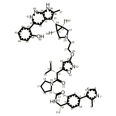 Cc1ncsc1-c1ccc([C@H](C)NC(=O)[C@@H]2CCCN2C(=O)[C@@H](c2cc(OCCN3C[C@@H]4[C@H](C3)[C@H]4c3c(C)[nH]c4nnc(-c5ccccc5O)cc34)no2)C(C)C)cc1